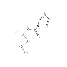 C[C@@H](COC(F)(F)F)OC(=O)n1ccnc1